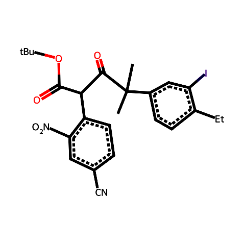 CCc1ccc(C(C)(C)C(=O)C(C(=O)OC(C)(C)C)c2ccc(C#N)cc2[N+](=O)[O-])cc1I